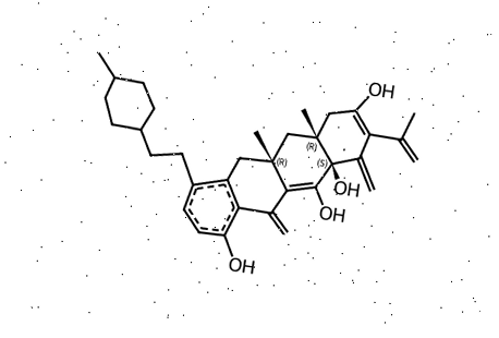 C=C(C)C1=C(O)C[C@@]2(C)C[C@@]3(C)Cc4c(CCC5CCC(C)CC5)ccc(O)c4C(=C)C3=C(O)[C@@]2(O)C1=C